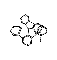 Cc1ccccc1-c1cccc2c1C1(c3ccccc3-c3ccccc31)c1ccccc1-2